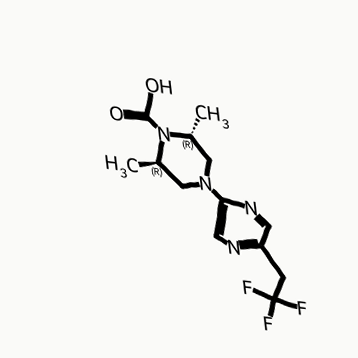 C[C@@H]1CN(c2cnc(CC(F)(F)F)cn2)C[C@@H](C)N1C(=O)O